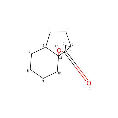 O=C1CC2CCC3CCCCC32O1